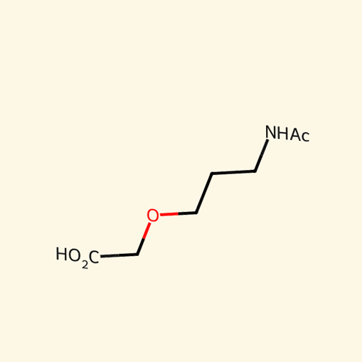 CC(=O)NCCCOCC(=O)O